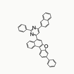 c1ccc(-c2ccc3c(c2)oc2cc(-c4cc(-c5ccc6ccccc6c5)nc(-c5ccccc5)n4)c4ccccc4c23)cc1